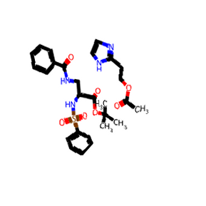 CC(=O)OCCc1ncc[nH]1.CC(C)(C)OC(=O)C(CNC(=O)c1ccccc1)NS(=O)(=O)c1ccccc1